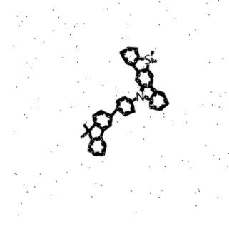 CC1(C)c2ccccc2-c2cc(-c3ccc(-n4c5ccccc5c5cc6c(cc54)-c4ccccc4[Si]6(C)C)cc3)ccc21